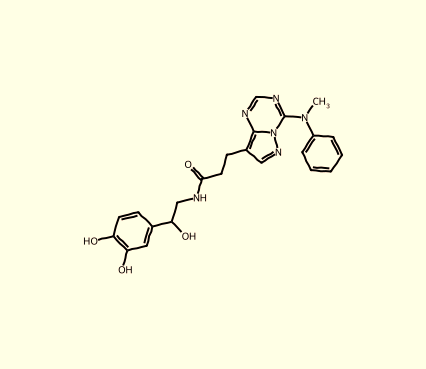 CN(c1ccccc1)c1ncnc2c(CCC(=O)NCC(O)c3ccc(O)c(O)c3)cnn12